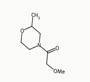 COCC(=O)N1CCOC(C)C1